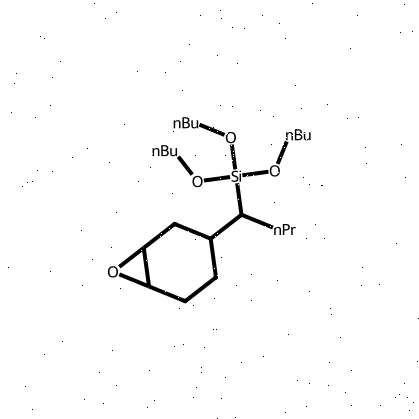 CCCCO[Si](OCCCC)(OCCCC)C(CCC)C1CCC2OC2C1